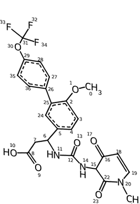 COc1ccc(C(CC(=O)O)NC(=O)NC2C(=O)C=CN(C)C2=O)cc1-c1ccc(OC(F)(F)F)cc1